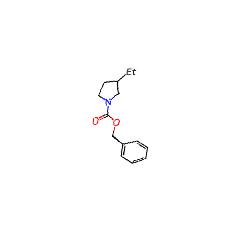 CCC1CCN(C(=O)OCc2ccccc2)C1